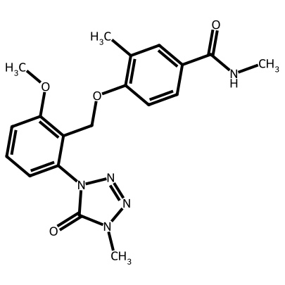 CNC(=O)c1ccc(OCc2c(OC)cccc2-n2nnn(C)c2=O)c(C)c1